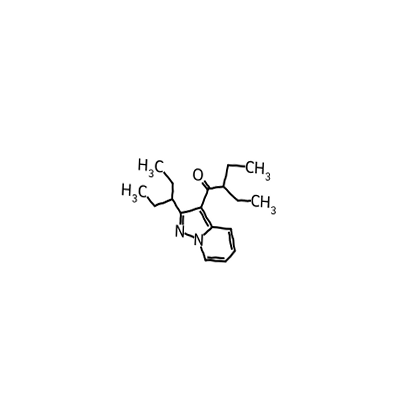 CCC(CC)C(=O)c1c(C(CC)CC)nn2ccccc12